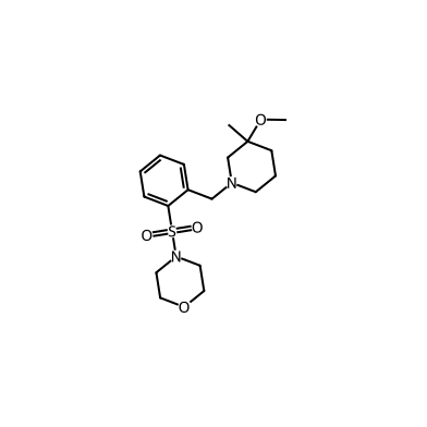 COC1(C)CCCN(Cc2ccccc2S(=O)(=O)N2CCOCC2)C1